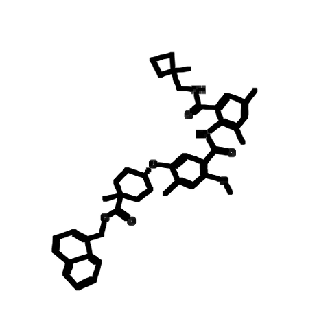 COc1cc(C)c(O[C@H]2CC[C@@](C)(C(=O)OCc3cccc4ccccc34)CC2)cc1C(=O)Nc1c(C)cc(C)cc1C(=O)NCC1(C)CCC1